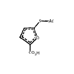 CC(=O)Sc1ccc(C(=O)O)o1